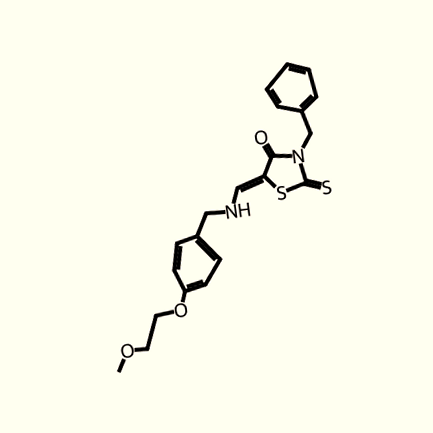 COCCOc1ccc(CN/C=C2\SC(=S)N(Cc3ccccc3)C2=O)cc1